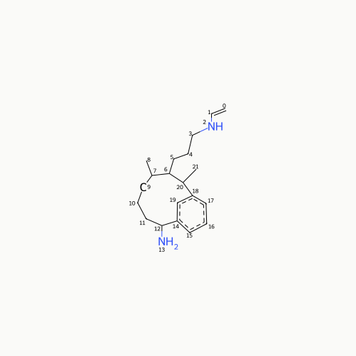 C=CNCCCC1C(C)CCCC(N)c2cccc(c2)C1C